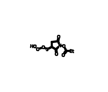 CCC(=O)ON1C(=O)CC(SOOO)C1=O